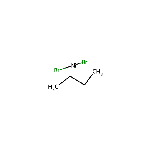 CCCC.[Br][Ni][Br]